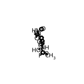 COc1cc(F)cc([C@@H](CO)NC(=O)CN2Cc3ccc(-c4nc(NC5CCOCC5)ncc4Cl)cc3S2(=O)=O)c1